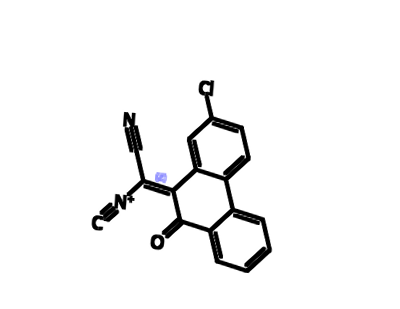 [C-]#[N+]/C(C#N)=C1\C(=O)c2ccccc2-c2ccc(Cl)cc21